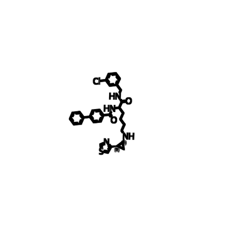 O=C(NC(CCCCN[C@@H]1C[C@H]1c1cscn1)C(=O)NCc1cccc(Cl)c1)c1ccc(-c2ccccc2)cc1